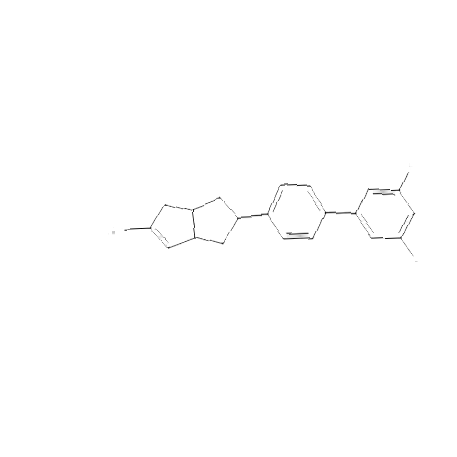 CCCC1=CC2CC(c3ccc(-c4cc(F)cc(F)c4)cc3)CC2C1